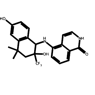 CC1(C)CC(O)(C(F)(F)F)C(Nc2cccc3c(=O)[nH]ccc23)c2ccc(O)cc21